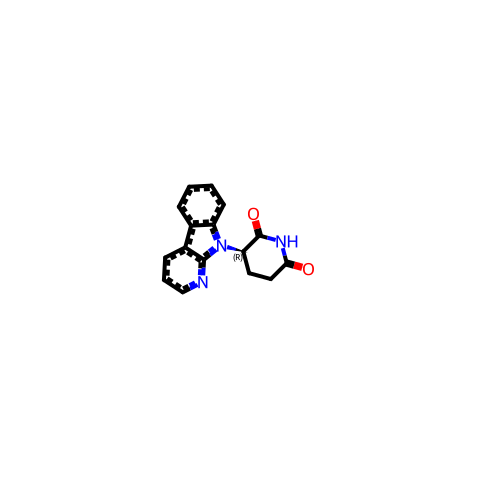 O=C1CC[C@@H](n2c3ccccc3c3cccnc32)C(=O)N1